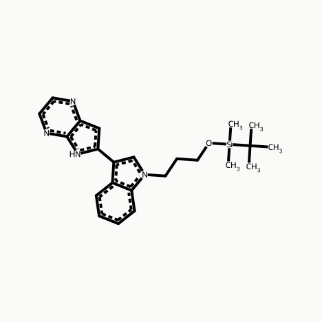 CC(C)(C)[Si](C)(C)OCCCn1cc(-c2cc3nccnc3[nH]2)c2ccccc21